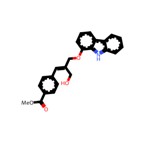 COC(=O)c1ccc(C=C(CO)COc2cccc3c2[nH]c2ccccc23)cc1